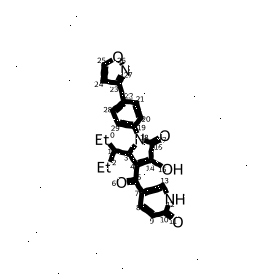 CCC(CC)C1C(C(=O)c2ccc(=O)[nH]c2)=C(O)C(=O)N1c1ccc(-c2ccon2)cc1